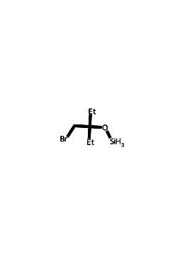 CCC(CC)(CBr)O[SiH3]